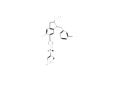 CNC1Cc2cc(F)c(C3CN(S(=O)(=O)c4cnn(C)c4)C3)cc2C1Cc1cccc(C(F)(F)F)c1